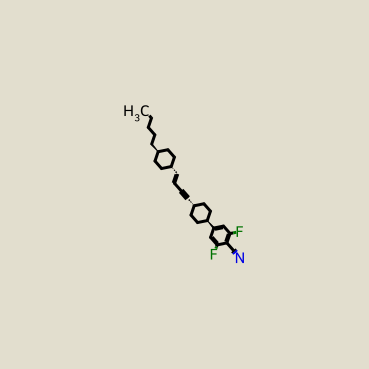 CCCCC[C@H]1CC[C@H](/C=C/C#C[C@H]2CC[C@H](c3cc(F)c(C#N)c(F)c3)CC2)CC1